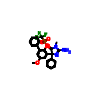 COc1cc(-c2ccccc2)c(OS(=O)(=O)C(F)(F)F)c(C2(c3ccccc3)N=C(N)N(C)C2=O)c1